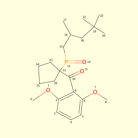 COc1cccc(OC)c1C(=O)C1([P](=O)CC(C)CC(C)(C)C)CCCC1